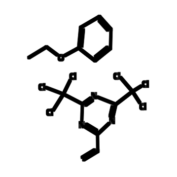 C=Cc1nc(C(Cl)(Cl)Cl)nc(C(Cl)(Cl)Cl)n1.CCOc1ccccc1